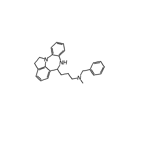 CN(CCCC1Nc2ccccc2N2CCc3cccc1c32)Cc1ccccc1